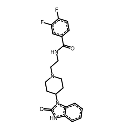 O=C(NCCN1CCC(n2c(=O)[nH]c3ccccc32)CC1)c1ccc(F)c(F)c1